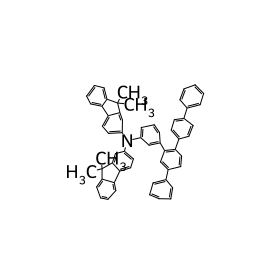 CC1(C)c2ccccc2-c2ccc(N(c3cccc(-c4cc(-c5ccccc5)ccc4-c4ccc(-c5ccccc5)cc4)c3)c3ccc4c(c3)C(C)(C)c3ccccc3-4)cc21